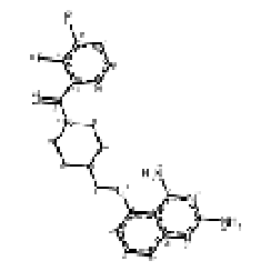 Nc1nc(N)c2c(OCC3CCN(C(=O)c4cccc(F)c4F)CC3)cccc2n1